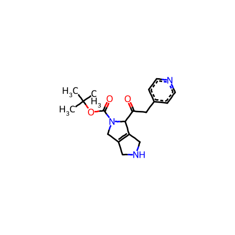 CC(C)(C)OC(=O)N1CC2=C(CNC2)C1C(=O)Cc1ccncc1